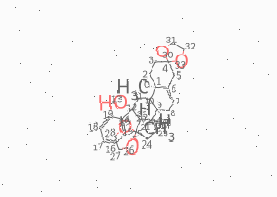 C[C@]12CCC3(CC1=CC[C@@H]1[C@@H]2C[C@](O)(c2ccccc2)[C@@]2(C)[C@H]1CCC21OCCO1)OCCO3